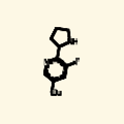 CC(C)(C)c1cnc(C2CCCN2)c(F)c1